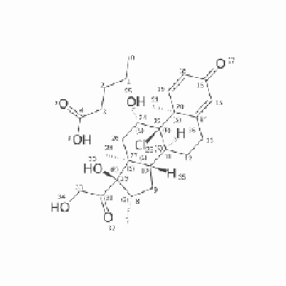 CCCCC(=O)O.C[C@H]1C[C@H]2[C@@H]3CCC4=CC(=O)C=C[C@]4(C)[C@@]3(Cl)[C@@H](O)C[C@]2(C)[C@@]1(O)C(=O)CO